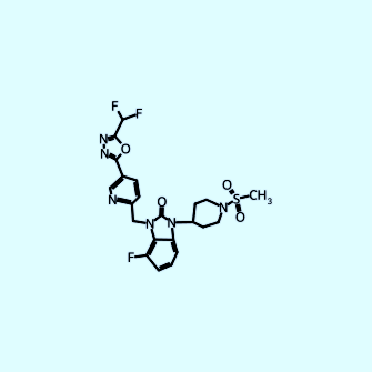 CS(=O)(=O)N1CCC(n2c(=O)n(Cc3ccc(-c4nnc(C(F)F)o4)cn3)c3c(F)cccc32)CC1